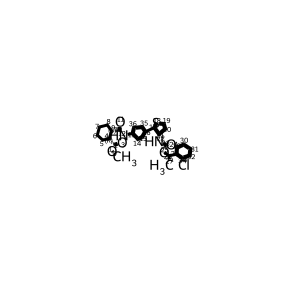 COC(=O)[C@@H]1CCCC[C@@H]1C(=O)Nc1ccc(-c2sccc2NC(=O)OC(C)c2ccccc2Cl)cc1